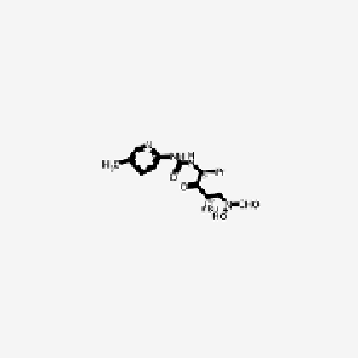 CCCC[C@@H](CN(O)C=O)C(=O)[C@@H](NC(=O)Nc1ccc(C)cn1)C(C)C